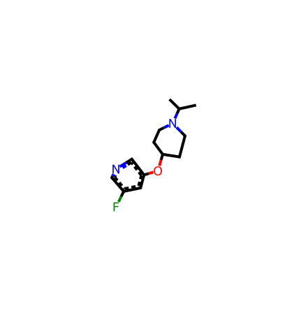 CC(C)N1CCC(Oc2cncc(F)c2)CC1